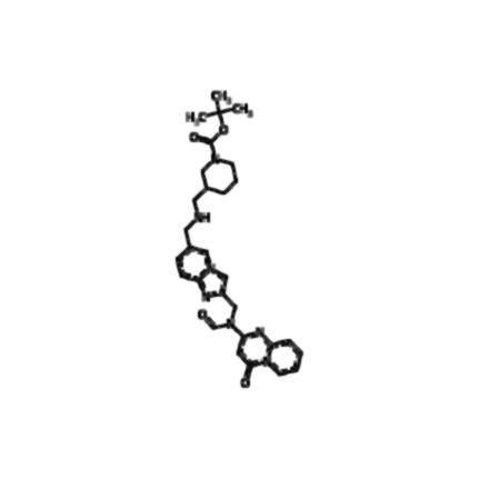 CC(C)(C)OC(=O)N1CCCC(CNCc2ccc3nc(CN(C=O)c4cc(=O)n5ccccc5n4)cn3c2)C1